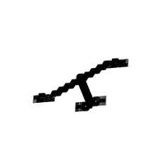 C=C.C=C.C=C.C=C.C=C.C=C.C=C.C=C.CCCCCCCCCCCCCCCCCCOCCCCCCCCCCCCCCCCCC.OCCO